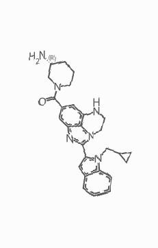 N[C@@H]1CCCN(C(=O)c2cc3c4c(c2)nc(-c2cc5ccccc5n2CC2CC2)n4CCN3)C1